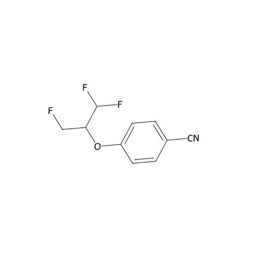 N#Cc1ccc(OC(CF)C(F)F)cc1